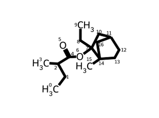 CCC(C)C(=O)OC1(CC)CC2CCC1(C)C2